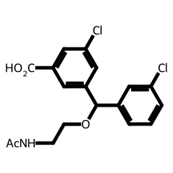 CC(=O)NCCOC(c1cccc(Cl)c1)c1cc(Cl)cc(C(=O)O)c1